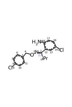 CC(C)/C(=N\OCc1ccc(Cl)cc1)c1cc(Cl)ccc1N